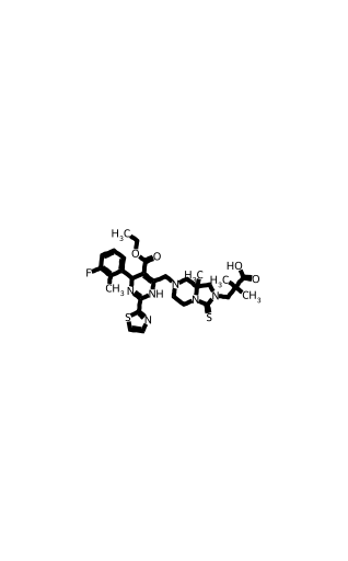 CCOC(=O)C1=C(CN2CCN3C(=S)N(CC(C)(C)C(=O)O)CC3(C)C2)NC(c2nccs2)=NC1c1cccc(F)c1C